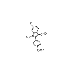 COc1ccc(-c2c(C=O)c3ccc(F)cc3n2C)cc1